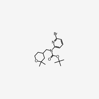 CC(C)(C)OC(=O)N(CC1CCOC(C)(C)C1)c1cccc(Br)n1